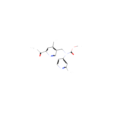 COC(=O)c1cc(OC)c(CN(C(=O)OC(C)(C)C)c2ccnc(OC)c2)cn1